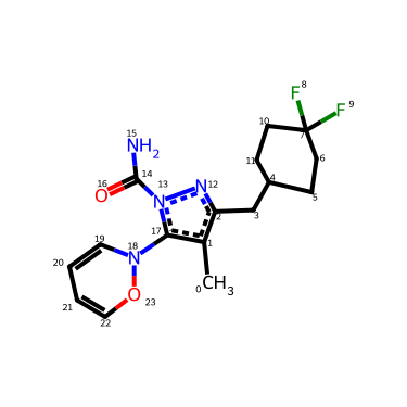 Cc1c(CC2CCC(F)(F)CC2)nn(C(N)=O)c1N1C=CC=CO1